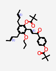 C/C=C/Cc1cc(C/C=C/C)c(OC(=O)C(C)(C)C)c(/C=C/C(=O)c2ccc(OC(=O)C(C)(C)C)cc2)c1OCCC